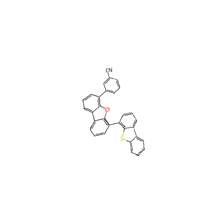 N#Cc1cccc(-c2cccc3c2oc2c(-c4cccc5c4sc4ccccc45)cccc23)c1